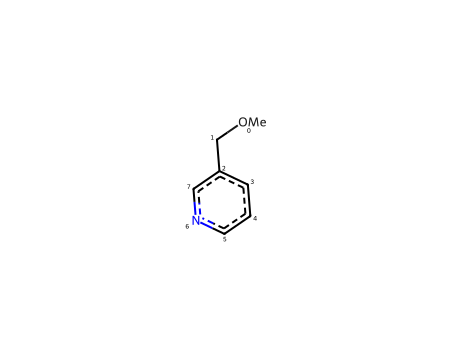 [CH2]OCc1cccnc1